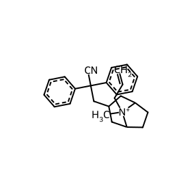 C=CC[N+]1(C)C2CCC1CC(CC(C#N)(c1ccccc1)c1ccccc1)C2